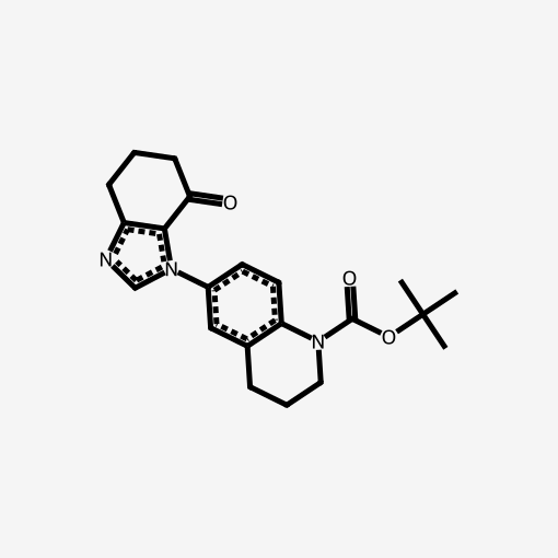 CC(C)(C)OC(=O)N1CCCc2cc(-n3cnc4c3C(=O)CCC4)ccc21